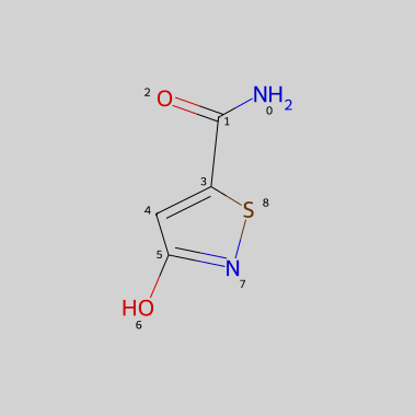 NC(=O)c1cc(O)ns1